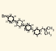 CN(C)Cc1cccc(-c2cnc(N3CCN(c4ccc(Br)cn4)CC3)nc2)c1